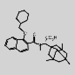 CC12CC3(C)CC(C)(C1)CC([C@H](NC(=O)c1ccc4ccccc4c1OCC1CCCCC1)C(=O)O)(C2)C3